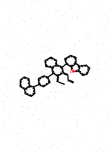 C=C/C=c1/c(-c2cccc3c2oc2ccccc23)c2ccccc2c(-c2ccc(-c3cccc4ccccc34)cc2)/c1=C/C